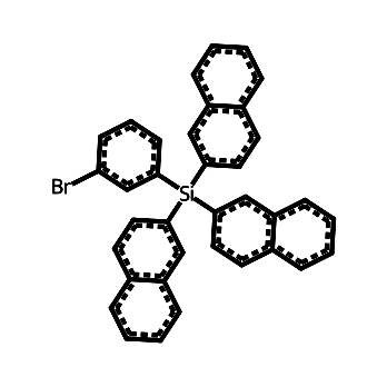 Brc1cccc([Si](c2ccc3ccccc3c2)(c2ccc3ccccc3c2)c2ccc3ccccc3c2)c1